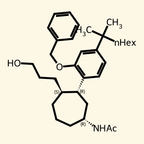 CCCCCCC(C)(C)c1ccc([C@@H]2C[C@H](NC(C)=O)CCC[C@H]2CCCO)c(OCc2ccccc2)c1